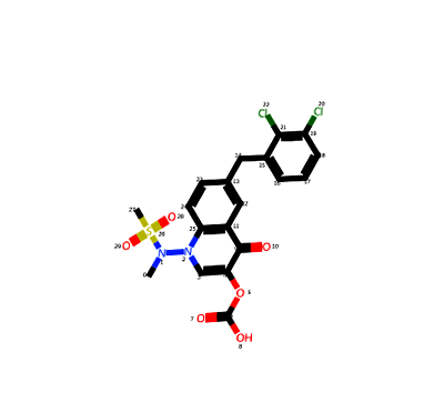 CN(n1cc(OC(=O)O)c(=O)c2cc(Cc3cccc(Cl)c3Cl)ccc21)S(C)(=O)=O